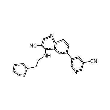 N#Cc1cncc(-c2ccc3ncc(C#N)c(NCCc4ccccc4)c3c2)c1